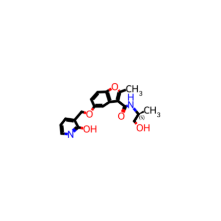 Cc1oc2ccc(OCc3cccnc3O)cc2c1C(=O)N[C@@H](C)CO